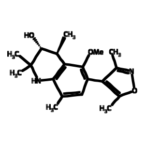 COc1c(-c2c(C)noc2C)cc(C)c2c1[C@H](C)[C@@H](O)C(C)(C)N2